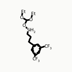 CCOC(OCC)O[SiH2]CCCc1cc(C(F)(F)F)cc(C(F)(F)F)c1